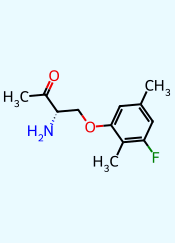 CC(=O)[C@@H](N)COc1cc(C)cc(F)c1C